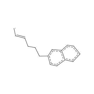 [CH2]C=CCCCc1ccc2ccccc2c1